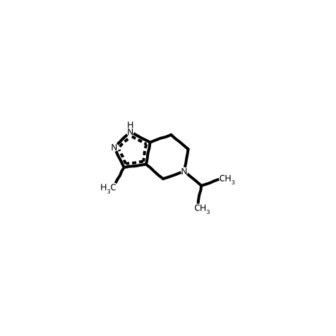 Cc1n[nH]c2c1CN(C(C)C)CC2